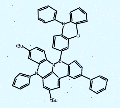 CC(C)(C)c1ccc2c(c1)N(c1ccccc1)c1cc(C(C)(C)C)cc3c1N2B(c1ccc2c(c1)Oc1ccccc1N2c1ccccc1)c1ccc(-c2ccccc2)cc1-3